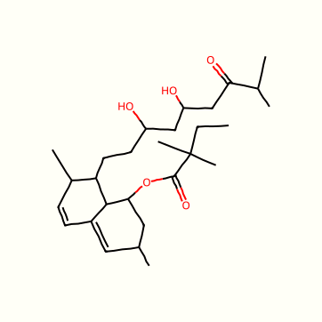 CCC(C)(C)C(=O)OC1CC(C)C=C2C=CC(C)C(CCC(O)CC(O)CC(=O)C(C)C)C21